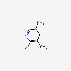 CC1=C(C(C)C)N=CC(C)C1